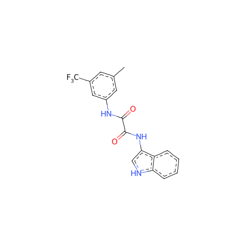 Cc1cc(NC(=O)C(=O)Nc2c[nH]c3ccccc23)cc(C(F)(F)F)c1